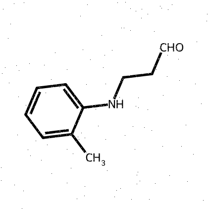 Cc1ccccc1NCCC=O